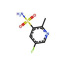 Cc1ncc(F)cc1S(N)(=O)=O